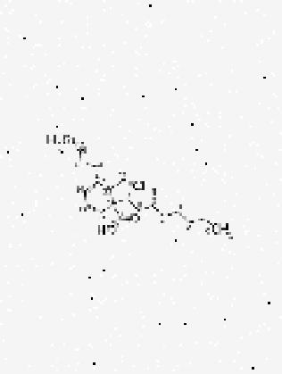 CCCCCCCCC1(C(=O)O)C=CC=C(CCOC)C1CC